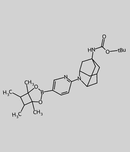 CC1C(C)C2(C)OB(c3ccc(N4C5CC6CC4CC(NC(=O)OC(C)(C)C)(C6)C5)nc3)OC12C